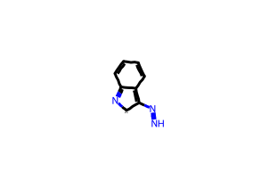 N=NC1=c2ccccc2=N[C]1